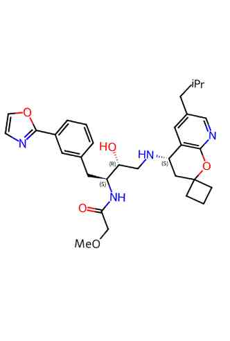 COCC(=O)N[C@@H](Cc1cccc(-c2ncco2)c1)[C@H](O)CN[C@H]1CC2(CCC2)Oc2ncc(CC(C)C)cc21